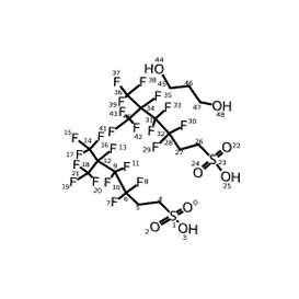 O=S(=O)(O)CCC(F)(F)C(F)(F)C(F)(C(F)(F)F)C(F)(F)F.O=S(=O)(O)CCC(F)(F)C(F)(F)C(F)(C(F)(F)F)C(F)(F)F.OCCCO